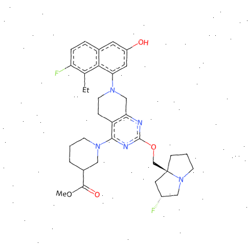 CCc1c(F)ccc2cc(O)cc(N3CCc4c(nc(OC[C@@]56CCCN5C[C@H](F)C6)nc4N4CCCC(C(=O)OC)C4)C3)c12